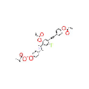 C=CC(=O)Oc1ccc(C#Cc2cc(OC(=O)C=C)c(/C(C)=C(\C)c3ccc(OCOC(=O)C(=C)C)cc3)cc2F)cc1